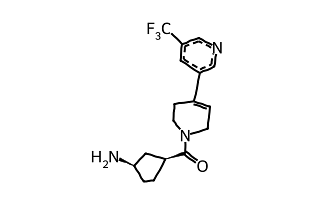 N[C@@H]1CC[C@H](C(=O)N2CC=C(c3cncc(C(F)(F)F)c3)CC2)C1